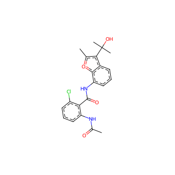 CC(=O)Nc1cccc(Cl)c1C(=O)Nc1cccc2c(C(C)(C)O)c(C)oc12